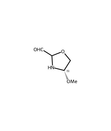 CO[C@H]1COC(C=O)N1